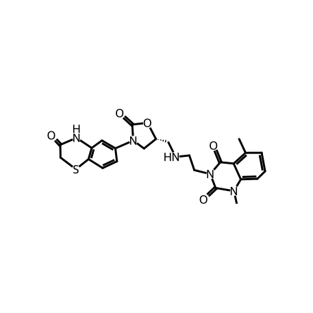 Cc1cccc2c1c(=O)n(CCNC[C@@H]1CN(c3ccc4c(c3)NC(=O)CS4)C(=O)O1)c(=O)n2C